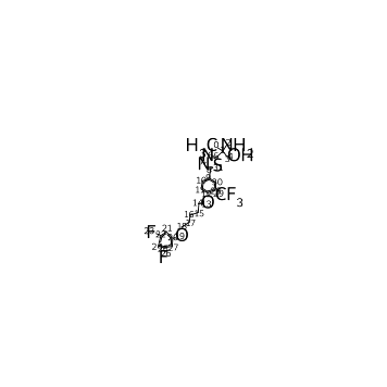 CC(N)(CO)c1nnc(-c2ccc(OCCCCCOc3cc(F)cc(F)c3)c(C(F)(F)F)c2)s1